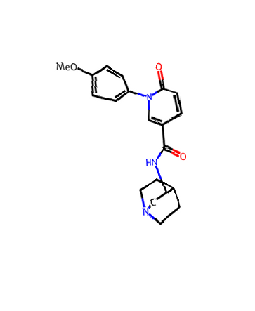 COc1ccc(-n2cc(C(=O)NC3CN4CCC3CC4)ccc2=O)cc1